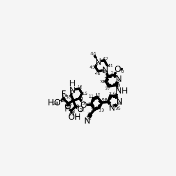 COc1nc(Nc2cc(-c3ccc(OC4CCNCC4(C(=O)[C@@H](O)F)C(=O)[C@@H](O)F)c(C#N)c3)ncn2)ccc1N1CCN(C)CC1